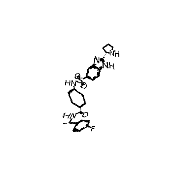 C[C@@H](NC(=O)[C@H]1CC[C@H](NS(=O)(=O)c2ccc3[nH]c([C@@H]4CCCN4)nc3c2)CC1)c1ccc(F)cc1